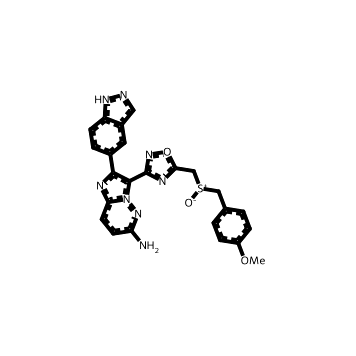 COc1ccc(C[S+]([O-])Cc2nc(-c3c(-c4ccc5[nH]ncc5c4)nc4ccc(N)nn34)no2)cc1